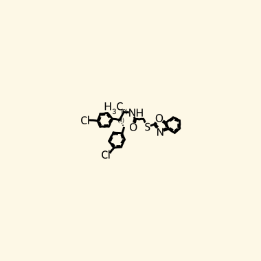 C[C@@H](NC(=O)CSc1nc2ccccc2o1)[C@H](Cc1ccc(Cl)cc1)c1ccc(Cl)cc1